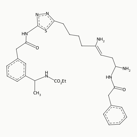 CCOC(=O)NC(C)c1cccc(CC(=O)Nc2nnc(CCCC/C(N)=C/CC(N)NC(=O)Cc3ccccc3)s2)c1